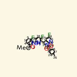 COC(=O)C1C2CCCC(CC2)C1Nc1nc(C2CN(S(=O)(=O)c3ccc(C)cc3)c3ncc(F)cc32)c(F)cc1F